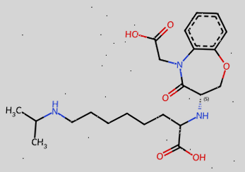 CC(C)NCCCCCCC(N[C@H]1COc2ccccc2N(CC(=O)O)C1=O)C(=O)O